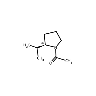 CC(=O)N1CCC[C@@H]1C(C)C